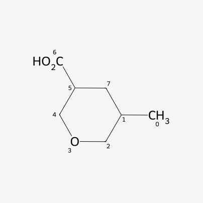 CC1COCC(C(=O)O)C1